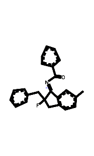 Cc1ccc2c(c1)/C(=N\C(=O)c1ccccc1)C(F)(Cc1ccccc1)C2